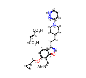 CNCc1c(OCC2CC2)ccc2c(CCC3CCN(c4cccnn4)CC3)noc12.O=C(O)C=CC(=O)O